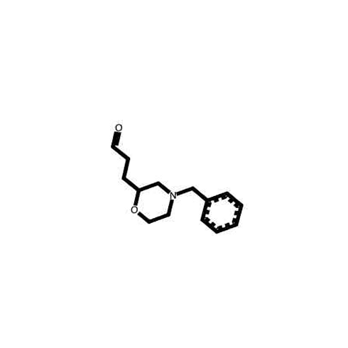 O=CCCC1CN(Cc2ccccc2)CCO1